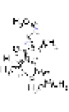 C=C/C(=C\C=C/C)C(=O)C1=CN(CC(C)C)CCC1(C)C